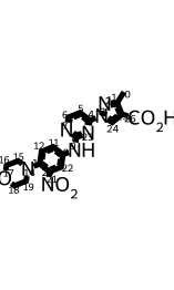 Cc1nn(-c2ccnc(Nc3ccc(N4CCOCC4)c([N+](=O)[O-])c3)n2)cc1C(=O)O